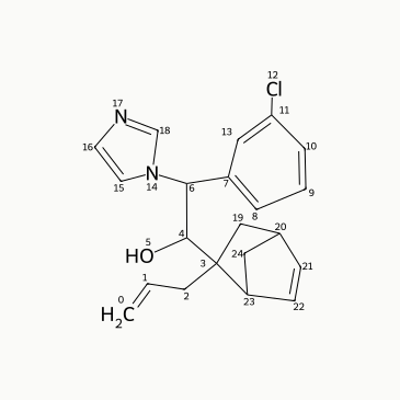 C=CCC1(C(O)C(c2cccc(Cl)c2)n2ccnc2)CC2C=CC1C2